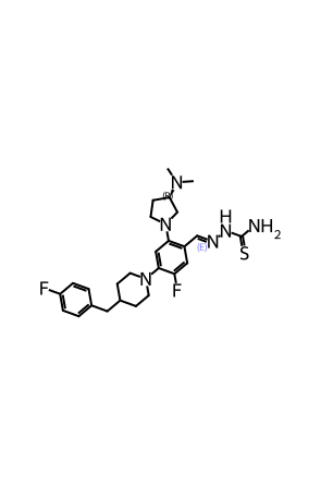 CN(C)[C@@H]1CCN(c2cc(N3CCC(Cc4ccc(F)cc4)CC3)c(F)cc2/C=N/NC(N)=S)C1